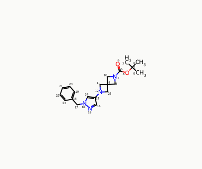 CC(C)(C)OC(=O)N1CC2(C1)CN(c1cnn(Cc3ccccc3)c1)C2